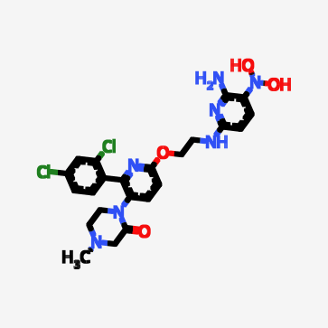 CN1CCN(c2ccc(OCCNc3ccc(N(O)O)c(N)n3)nc2-c2ccc(Cl)cc2Cl)C(=O)C1